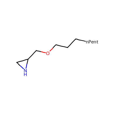 CCCCCCCCOCC1CN1